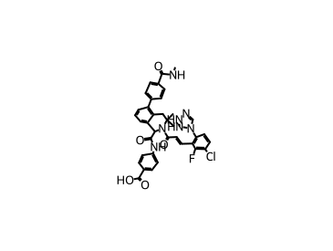 CNC(=O)c1ccc(-c2cccc3c2CC(C)(C)N(C(=O)/C=C/c2c(N4C=NNN4)ccc(Cl)c2F)C3C(=O)Nc2ccc(C(=O)O)cc2)cc1